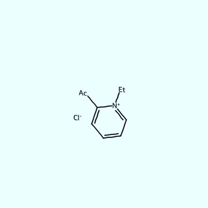 CC[n+]1ccccc1C(C)=O.[Cl-]